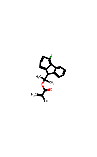 C=C(C)C(=O)OC(C)(C)C1c2ccccc2-c2c(F)cccc21